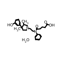 CC1CN(CCN(C(=O)CCCC(=O)O)c2ccccc2)CCC1(C)c1cccc(O)c1.O